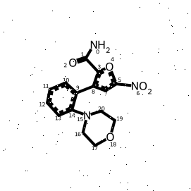 NC(=O)c1oc([N+](=O)[O-])cc1-c1ccccc1N1CCOCC1